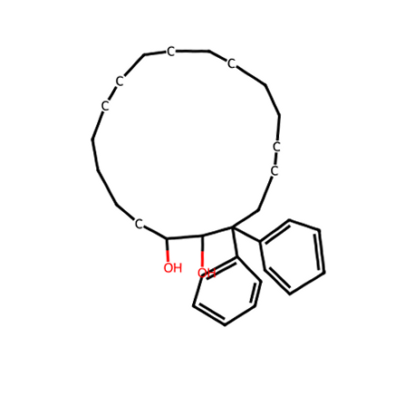 OC1CCCCCCCCCCCCCCCC(c2ccccc2)(c2ccccc2)C1O